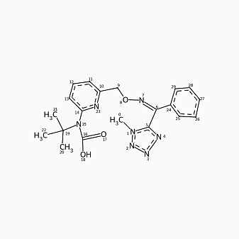 Cn1nnnc1/C(=N\OCc1cccc(N(C(=O)O)C(C)(C)C)n1)c1ccccc1